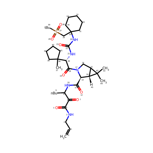 C=CCNC(=O)C(=O)C(CCCC)NC(=O)[C@@H]1[C@@H]2C(CN1C(=O)[C@@H](NC(=O)NC1(CS(=O)(=O)C(C)(C)C)CCCCC1)C1(C)CCCC1)C2(C)C